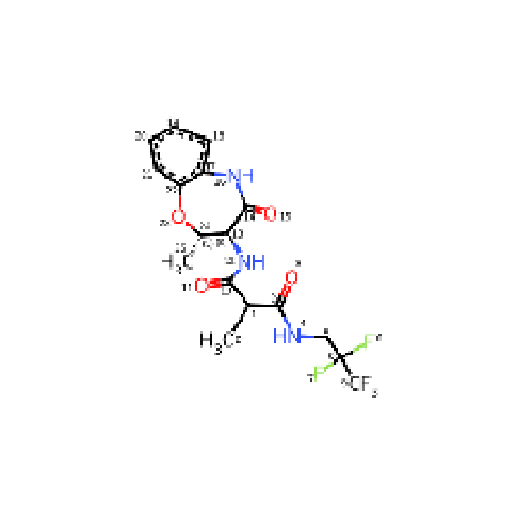 CC(C(=O)NCC(F)(F)C(F)(F)F)C(=O)N[C@@H]1C(=O)Nc2ccccc2O[C@H]1C